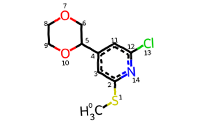 CSc1cc(C2COCCO2)cc(Cl)n1